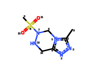 Cc1nnc2n1CN(S(C)(=O)=O)NC2